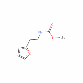 CC(C)(C)OC(=O)NC[CH]c1ccco1